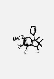 COc1cc2c(c(Cl)c1Cl)C(=O)C(C)(C)C2(C)c1ccccc1